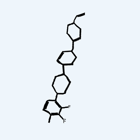 C=CC1CCC(C2C=CC(C3CCC(c4ccc(C)c(F)c4F)CC3)CC2)CC1